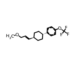 COCC=C[C@H]1CC[C@H](c2ccc(OC(F)(F)F)cc2)CC1